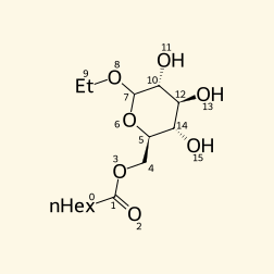 CCCCCCC(=O)OC[C@H]1OC(OCC)[C@H](O)[C@@H](O)[C@@H]1O